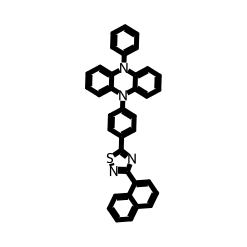 c1ccc(N2c3ccccc3N(c3ccc(-c4nc(-c5cccc6ccccc56)ns4)cc3)c3ccccc32)cc1